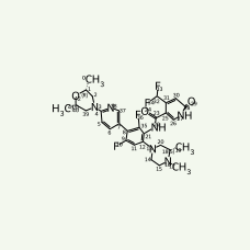 C[C@@H]1CN(c2ccc(-c3c(F)cc(N4CCN(C)[C@@H](C)C4)c(NC(=O)c4c[nH]c(=O)cc4C(F)F)c3F)cn2)C[C@H](C)O1